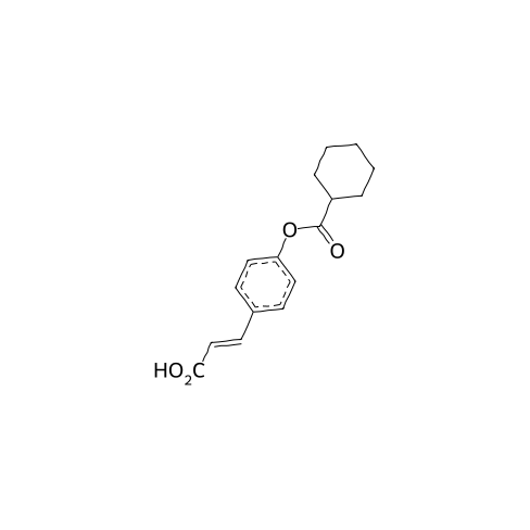 O=C(O)C=Cc1ccc(OC(=O)C2CCCCC2)cc1